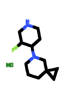 Cl.FC1CNCCC1N1CCCC2(CC2)C1